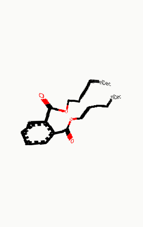 CCCCCCCCCCCCCOC(=O)c1ccccc1C(=O)OCCCCCCCCCCCCC